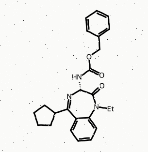 CCN1C(=O)[C@@H](NC(=O)OCc2ccccc2)N=C(C2CCCC2)c2ccccc21